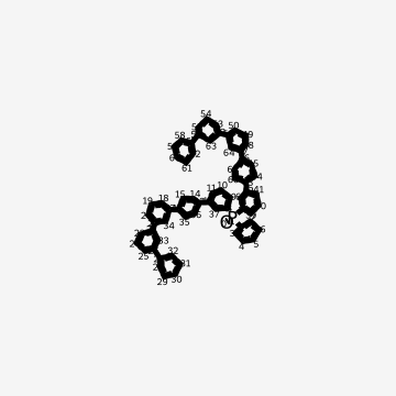 O=P(c1ccccc1)(c1cccc(-c2ccc(-c3cccc(-c4cccc(-c5ccccc5)c4)c3)cc2)c1)c1cccc(-c2ccc(-c3cccc(-c4cccc(-c5ccccc5)c4)c3)cc2)c1